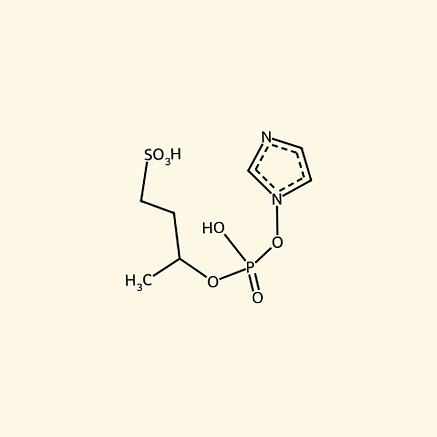 CC(CCS(=O)(=O)O)OP(=O)(O)On1ccnc1